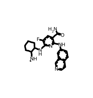 CNC1CCCCC1Nc1nc(Nc2ccc3ccncc3c2)c(C(N)=O)cc1F